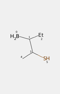 BC(CC)C(C)S